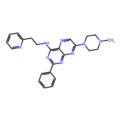 CN1CCN(c2cnc3c(NCCc4ccccn4)nc(-c4ccccc4)nc3n2)CC1